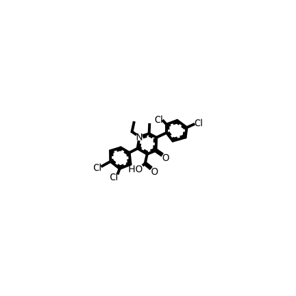 CCn1c(C)c(-c2ccc(Cl)cc2Cl)c(=O)c(C(=O)O)c1-c1ccc(Cl)c(Cl)c1